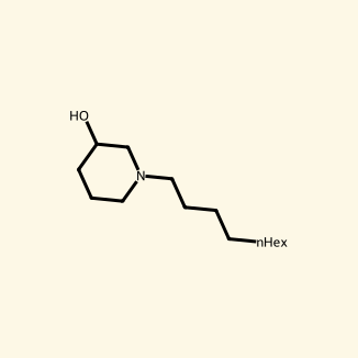 CCCCCCCCCCN1CCCC(O)C1